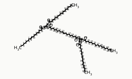 CCCCCCCCC=CCCCCCCCC(=O)OCC(COC(=O)CCCCCCCCCCCCCCCCC)OC(=O)CCCCCCCC=CCCCCCCCC(=O)OC(COC(=O)CCCCCCCCCCCCCCCCC)COC(=O)CCCCCCCCCCCCCCCCC